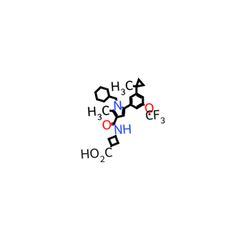 Cc1c(C(=O)N[C@H]2C[C@H](C(=O)O)C2)cc(-c2cc(OC(F)(F)F)cc(C3(C)CC3)c2)n1CC1CCCCC1